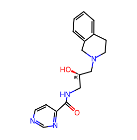 O=C(NC[C@@H](O)CN1CCc2ccccc2C1)c1ccncn1